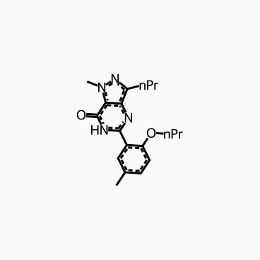 CCCOc1ccc(C)cc1-c1nc2c(CCC)nn(C)c2c(=O)[nH]1